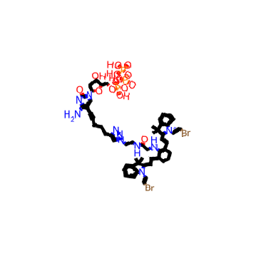 CC1(C)C(/C=C/C2=C(NCC(=O)NCCn3cc(CCCC#Cc4cn(C5C[C@@H](O)C(COP(=O)(O)OP(=O)(O)OP(=O)(O)O)O5)c(=O)nc4N)nn3)C(=C/C=C3/N(/C=C/Br)c4ccccc4C3(C)C)/CCC2)=[N+](/C=C/Br)c2ccccc21